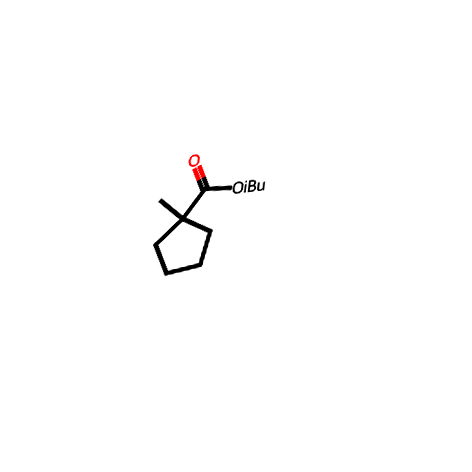 CC(C)[CH]OC(=O)C1(C)CCCC1